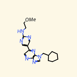 COCCNc1ncc(-c2cnc3ncn(CC4CCCCC4)c3n2)cn1